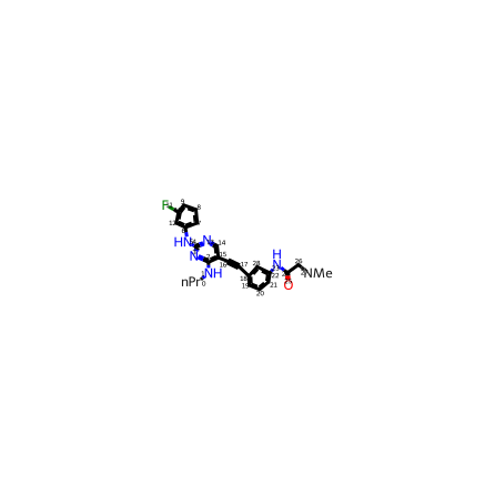 CCCNc1nc(Nc2cccc(F)c2)ncc1C#Cc1cccc(NC(=O)CNC)c1